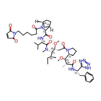 CC[C@H](C)[C@@H]([C@@H](CC(=O)N1CCC[C@H]1[C@H](OC)[C@@H](C)C(=O)N[C@@H](Cc1ccccc1)c1nnn[nH]1)OC)N(C)C(=O)[C@@H](NC(=O)[C@@H]1[C@H]2CC[C@H](C2)N1C(=O)CCCCCN1C(=O)C=CC1=O)C(C)C